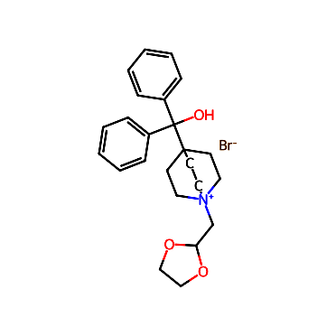 OC(c1ccccc1)(c1ccccc1)C12CC[N+](CC3OCCO3)(CC1)CC2.[Br-]